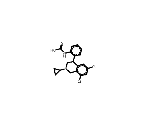 OC(=S)Nc1ccccc1C1CN(C2CC2)Cc2c(Cl)cc(Cl)cc21